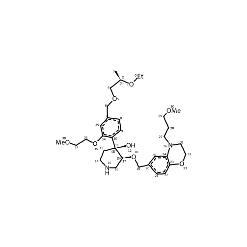 CCO[C@H](C)COCc1ccc([C@@]2(O)CCNC[C@@H]2OCc2ccc3c(c2)N(CCCOC)CCO3)c(OCCOC)c1